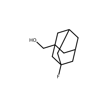 OCC12CC3CC(CC(F)(C3)C1)C2